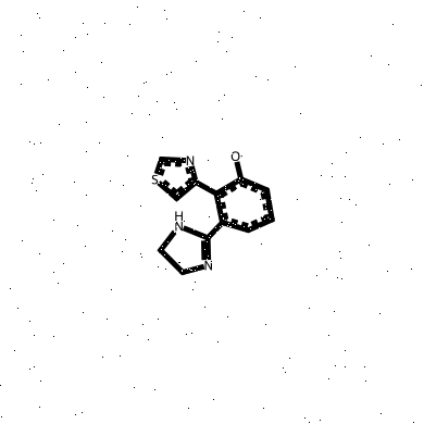 [O]c1cccc(C2=NCCN2)c1-c1cscn1